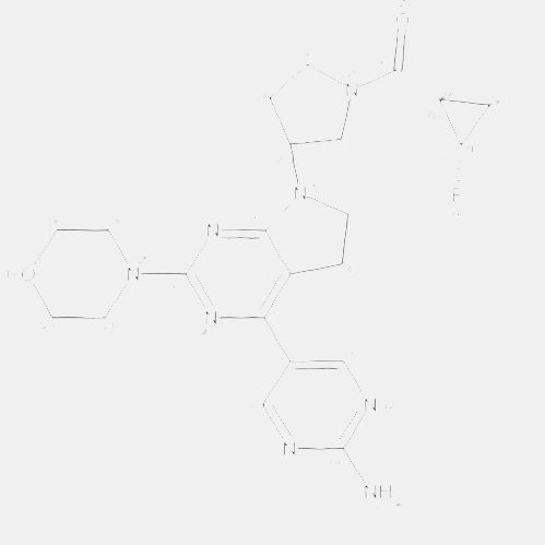 C[C@]1(N2CCc3c(-c4cnc(N)nc4)nc(N4CCOCC4)nc32)CCN(C(=O)[C@@H]2C[C@@H]2F)C1